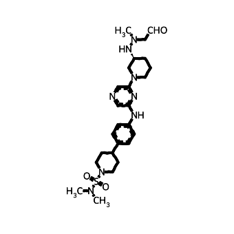 CN(CC=O)N[C@@H]1CCCN(c2cncc(Nc3ccc(C4CCN(S(=O)(=O)N(C)C)CC4)cc3)n2)C1